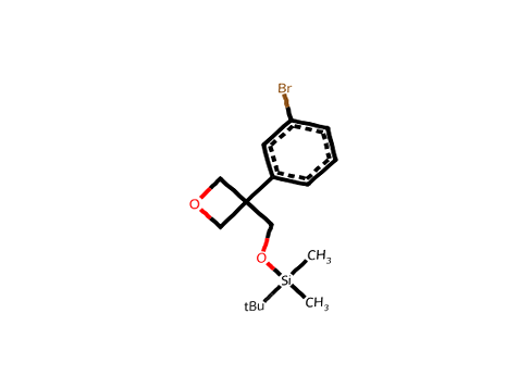 CC(C)(C)[Si](C)(C)OCC1(c2cccc(Br)c2)COC1